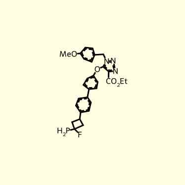 CCOC(=O)c1nnn(Cc2ccc(OC)cc2)c1Oc1ccc(-c2ccc(C3CC(F)(P)C3)cc2)cc1